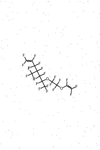 FC(F)=C(F)OC(F)(F)C(F)(F)OC(F)(C(F)(F)F)C(F)(F)C(F)(C(F)(F)F)C(F)(F)C(F)=C(F)F